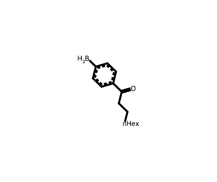 Bc1ccc(C(=O)CCCCCCCC)cc1